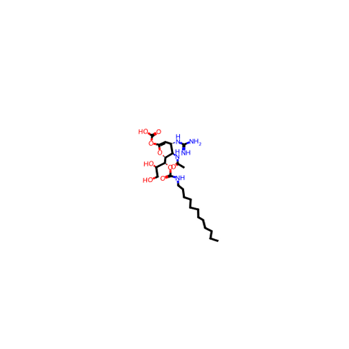 CCCCCCCCCCCCNC(=O)O[C@@H]([C@@H]1OC(OC(=O)O)=C[C@H](NC(=N)N)[C@H]1NC(C)=O)[C@H](O)CO